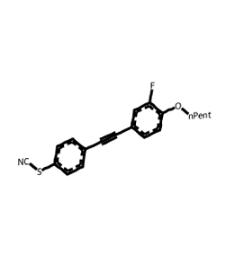 CCCCCOc1ccc(C#Cc2ccc(SC#N)cc2)cc1F